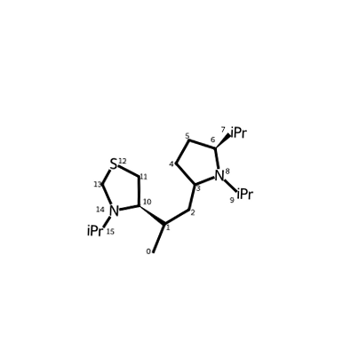 CC(CC1CC[C@@H](C(C)C)N1C(C)C)[C@@H]1CSCN1C(C)C